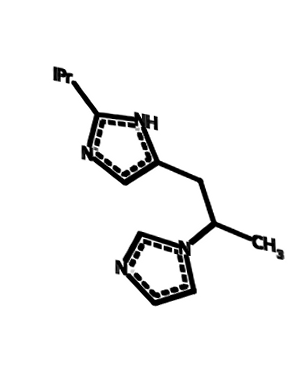 CC(C)c1ncc(CC(C)n2ccnc2)[nH]1